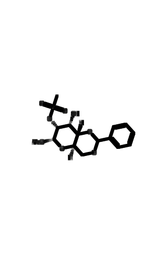 CO[C@H]1O[C@@H]2COC(c3ccccc3)O[C@H]2[C@@H](O)[C@H]1OS(C)(=O)=O